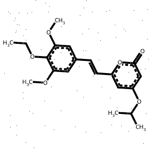 CCOc1c(OC)cc(C=Cc2cc(OC(C)C)cc(=O)o2)cc1OC